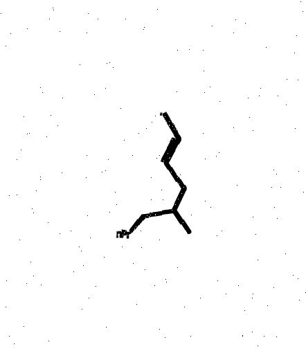 [CH2]/C=C/CC(C)CCCC